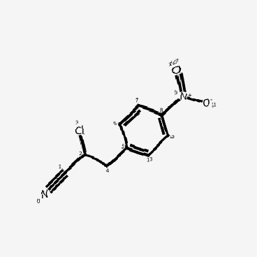 N#CC(Cl)Cc1ccc([N+](=O)[O-])cc1